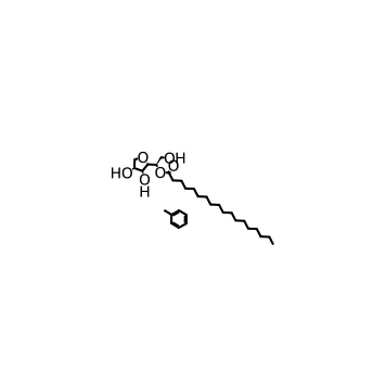 CCCCCCCCCCCCCCCCCC(=O)O[C@H](CO)[C@H]1OC[C@H](O)[C@H]1O.Cc1ccccc1